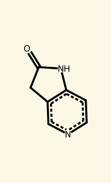 O=C1Cc2cnccc2N1